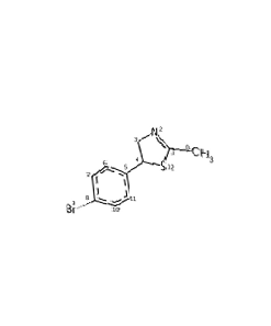 CC1=NCC(c2ccc(Br)cc2)S1